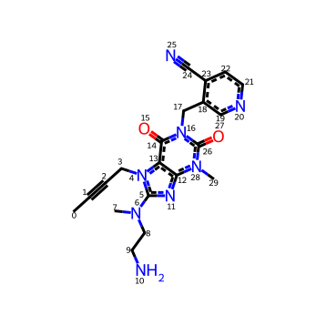 CC#CCn1c(N(C)CCN)nc2c1c(=O)n(Cc1cnccc1C#N)c(=O)n2C